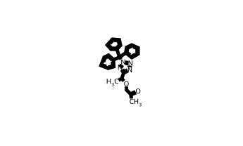 CC(=O)COC(C)c1nnn(C(c2ccccc2)(c2ccccc2)c2ccccc2)n1